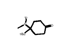 CCCCC1(N(C)CC)CCC(=O)CC1